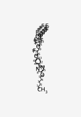 CCCCCCOc1cnc(-c2ccc(OC[C@@H](F)COCC(F)(F)C(F)(F)OC(F)(F)C(F)(F)C(F)(F)C(F)(F)F)cc2)nc1